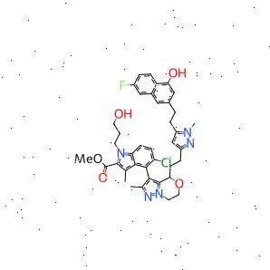 COC(=O)c1c(C)c2c(-c3c(C)nn4c3C(CCc3cc(CCc5cc(O)c6ccc(F)cc6c5)n(C)n3)OCC4)c(Cl)ccc2n1CCCO